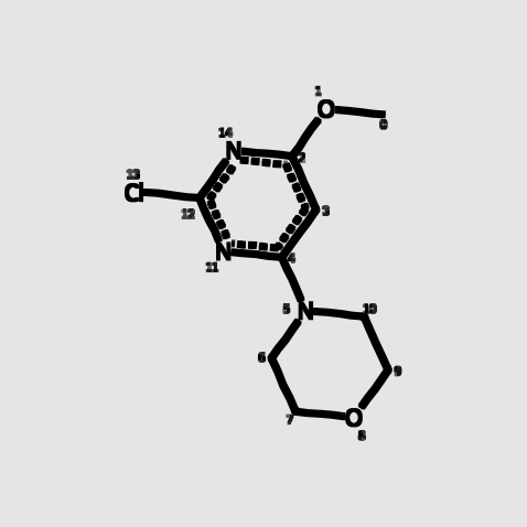 COc1cc(N2CCOCC2)nc(Cl)n1